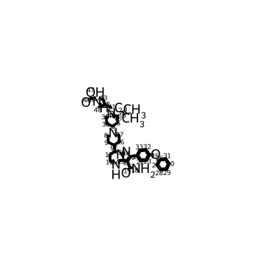 CC(C)(C)[C@@H]1CC(N2CCC(C3CCNc4c(C(N)=O)c(-c5ccc(Oc6ccccc6)cc5)nn43)CC2)CCN1CC1CN(C(=O)O)C1